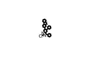 Clc1nc(-c2ccccc2)c2cc(-c3ccccc3)c(-c3ccc4c(c3)sc3ccccc34)cc2n1